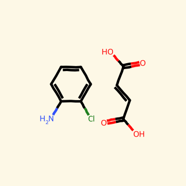 Nc1ccccc1Cl.O=C(O)C=CC(=O)O